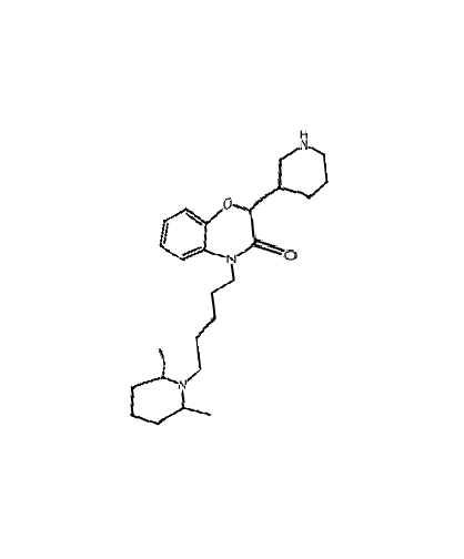 CC1CCCC(C)N1CCCCCN1C(=O)C(C2CCCNC2)Oc2ccccc21